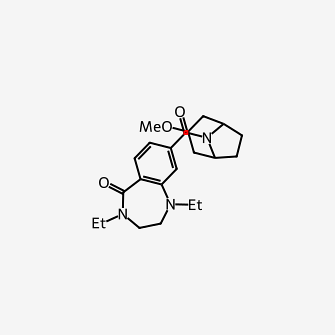 CCN1CCN(CC)c2cc(C(=O)N3C4CCC3CC(OC)C4)ccc2C1=O